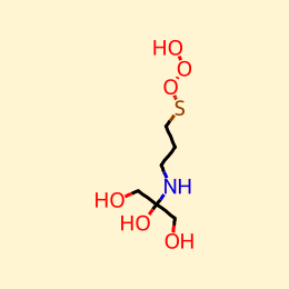 OCC(O)(CO)NCCCSOOO